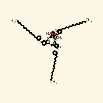 CCCCCCCCCCCCCCCc1cccc(Oc2ccc3c(c2)-c2nc-3nc3c4cc(Oc5cccc(CCCCCCCCCCCCCCC)c5)ccc4c(nc4c5cc(Oc6cccc(CCCCCCCCCCCCCCC)c6)ccc5c(n2)n4B(C)OS(C)(=O)=O)n3C)c1